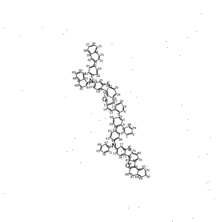 c1ccc(-c2cc(-c3cccc4c3ccc3oc5c(ccc6sc7cc(N(c8ccc(-c9ccc%10ccccc%10c9)cc8)c8cccc9ccccc89)ccc7c65)c34)ccc2-c2ccc(N(c3ccccc3)c3ccc4c(c3)sc3ccc5c(oc6ccc7ccccc7c65)c34)cc2)cc1